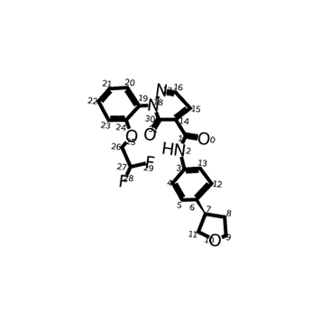 O=C(Nc1ccc([C@H]2CCOC2)cc1)c1ccnn(-c2ccccc2OCC(F)F)c1=O